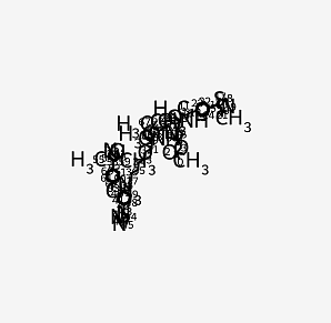 CC(=O)OC1CC(C(=O)N[C@@H](C)c2ccc(-c3scnc3C)cc2)N(C(=O)C(NC(=O)COCCCCCN(c2ccc(-n3ccnn3)cc2)c2cc(-c3c(C)noc3C)ccc2C)C(C)(C)C)C1